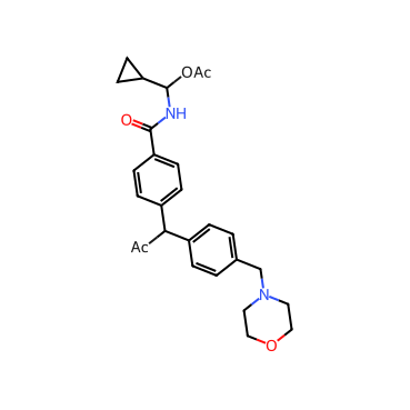 CC(=O)OC(NC(=O)c1ccc(C(C(C)=O)c2ccc(CN3CCOCC3)cc2)cc1)C1CC1